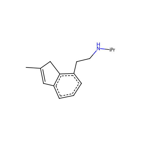 CC1=Cc2cccc(CCNC(C)C)c2C1